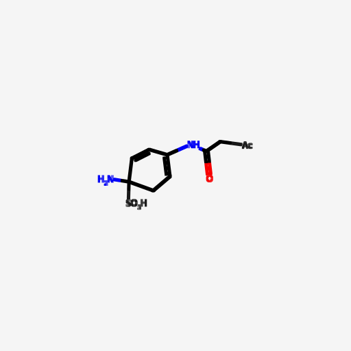 CC(=O)CC(=O)NC1=CCC(N)(S(=O)(=O)O)C=C1